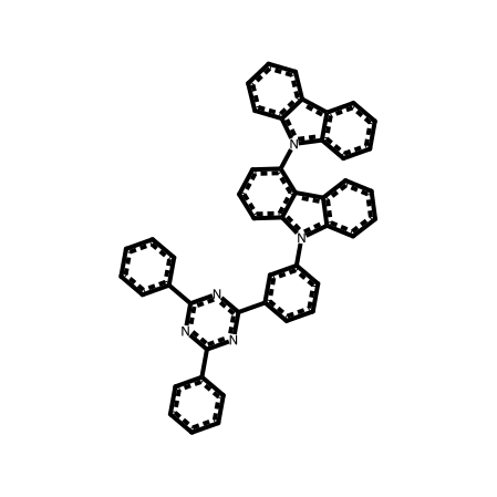 c1ccc(-c2nc(-c3ccccc3)nc(-c3cccc(-n4c5ccccc5c5c(-n6c7ccccc7c7ccccc76)cccc54)c3)n2)cc1